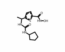 CC(NC(=O)NC1CCCC1)c1ccc(C(=O)NO)s1